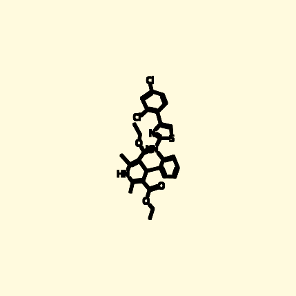 CCOC(=O)C1=C(C)NC(C)=C(C(=O)OCC)C1c1ccccc1Nc1nc(-c2ccc(Cl)cc2Cl)cs1